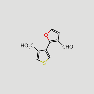 O=Cc1ccoc1-c1cscc1C(=O)O